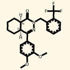 COc1ccc(C2=NN(Cc3ccccc3C(F)(F)F)C(=O)[C@@H]3CCCC[C@H]23)cc1OC